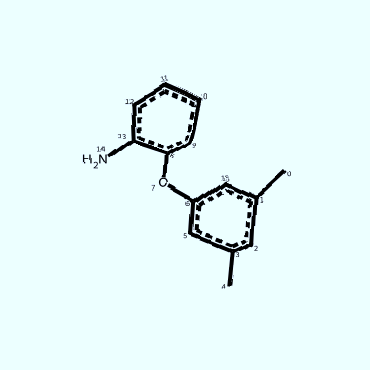 Cc1cc(C)cc(Oc2ccccc2N)c1